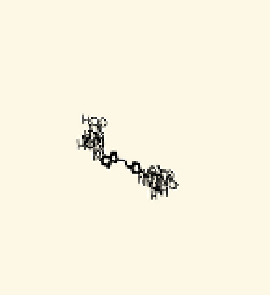 COC(=O)N[C@H](C(=O)N1[C@@H]2C[C@@H]2C[C@H]1c1nc2cc(CCc3ccc4c(ccc5nc([C@@H]6C[C@H]7C[C@H]7N6C(=O)[C@H](C(C)C)N(C)C(=O)O)[nH]c54)c3)ccc2[nH]1)C(C)C